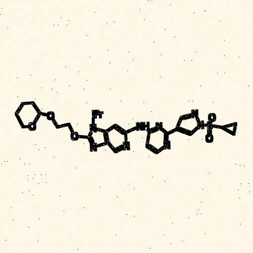 CC(C)n1c(OCCOC2CCCCO2)nc2cnc(Nc3ccnc(-c4cnn(S(=O)(=O)C5CC5)c4)n3)cc21